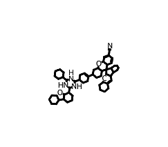 N#CC1=CC2OC3CC(C4=CCC(C5NC(C6CCCCC6)NC(C6CCCC7C8CCCCC8OC67)N5)CC4)CCC3C3(C2C=C1)C1CC2CCCCC2=CC1C1CCCCC13